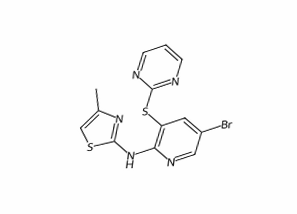 Cc1csc(Nc2ncc(Br)cc2Sc2ncccn2)n1